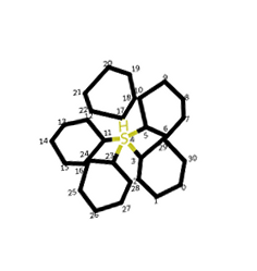 C1CCC([SH](C2CCCCC2)(C2CCCCC2)(C2CCCCC2)C2CCCCC2)CC1